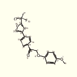 COc1ccc(OCC(=O)c2ccc(-c3noc(C(F)(F)Cl)n3)cc2)cc1